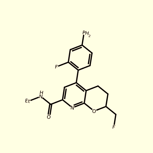 CCNC(=O)c1cc(-c2ccc(P)cc2F)c2c(n1)OC(CF)CC2